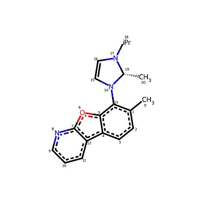 Cc1ccc2c(oc3ncccc32)c1N1C=CN(C(C)C)[C@@H]1C